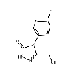 O=c1[nH]nc(CO)n1-c1ccc(F)cc1